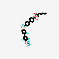 CCCCCC1COC(C2CCC(C3CCC(C(F)(F)Oc4ccc(-c5cc(F)c(OC(F)(F)F)c(F)c5)c(F)c4)CC3)CC2)OC1